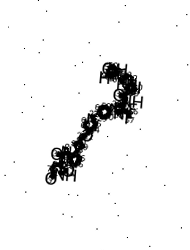 Cn1c(=O)n(C2CCC(=O)NC2=O)c2cccc(C3CC(COC4CCN(C[C@H]5CC[C@H](n6cc(NC(=O)c7cnn8ccc(N9C[C@H]%10C[C@@H]9CO%10)nc78)c(C(F)F)n6)CC5)CC4)C3)c21